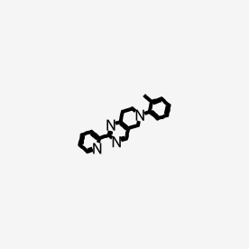 Cc1ccccc1N1CCc2nc(-c3ccccn3)ncc2C1